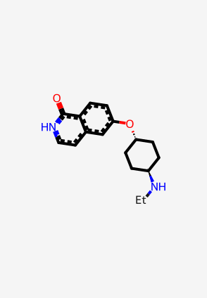 CCN[C@H]1CC[C@H](Oc2ccc3c(=O)[nH]ccc3c2)CC1